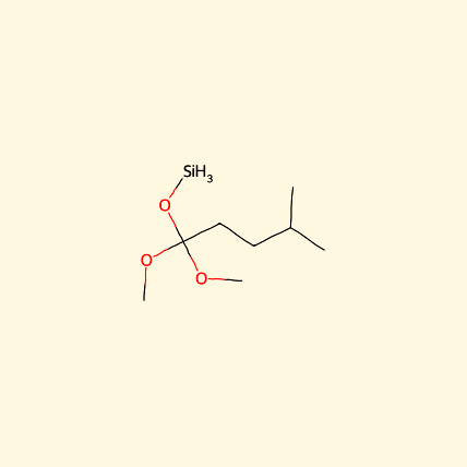 COC(CCC(C)C)(OC)O[SiH3]